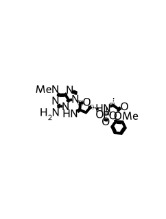 CNc1nc(N)nc2c1ncn2[C@@H]1O[C@H](CO[P@](=O)(N[C@H](C)C(=O)OC)Oc2ccccc2)CC1=N